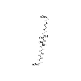 CCCCCCCCCCCCCCCCCCNC(=O)CC(=O)NCCCCCCCCCCCCCCCCCC